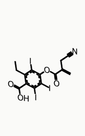 C=C(CC#N)C(=O)Oc1c(I)c(I)c(C(=O)O)c(CC)c1I